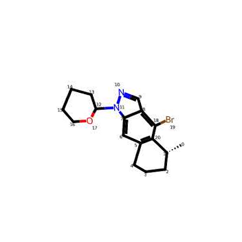 C[C@@H]1CCCc2cc3c(cnn3C3CCCCO3)c(Br)c21